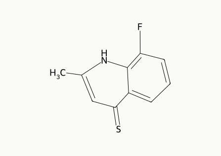 Cc1cc(=S)c2cccc(F)c2[nH]1